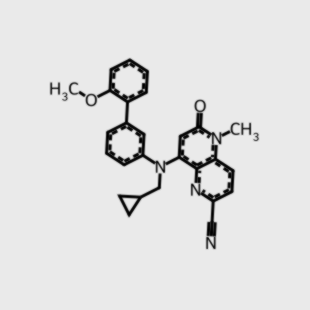 COc1ccccc1-c1cccc(N(CC2CC2)c2cc(=O)n(C)c3ccc(C#N)nc23)c1